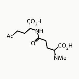 CN[C@@H](CCC(=O)N[C@H](CCC(C)=O)C(=O)O)C(=O)O